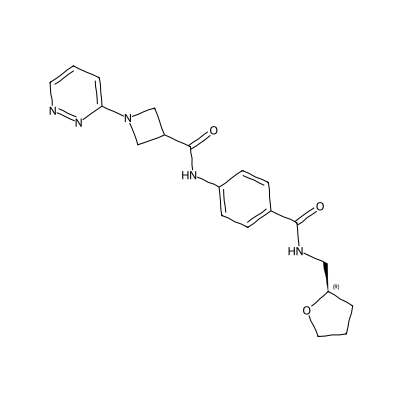 O=C(NC[C@H]1CCCO1)c1ccc(NC(=O)C2CN(c3cccnn3)C2)cc1